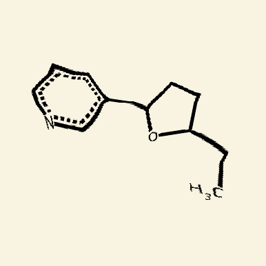 CCC1CCC(c2cccnc2)O1